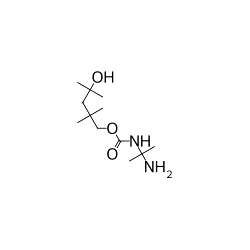 CC(C)(O)CC(C)(C)COC(=O)NC(C)(C)N